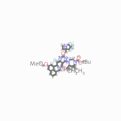 C#Cc1cccc2cc(OCOC)cc(-c3nc4c5c(nc(OCC67CCN6CC(F)(F)C7)nc5c3F)N3CCN(C(=O)OC(C)(C)C)C5C(C)[C@@H]5C3[C@H](C)O4)c12